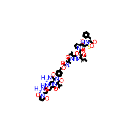 CC[C@H](C)[C@@H]([C@@H](CC(=O)N1CCC[C@H]1[C@H](OC)[C@@H](C)C(=S)N[C@@H](Cc1ccccc1)C(=O)OC)OC)N(C)C(=O)[C@@H](NC(=O)C(C)(C)N(C)C(=O)OCc1ccc(N(C(=O)[C@@H](NC(=O)CCCCCN2C(=O)C=CC2=O)C(C)C)[C@@H](CCCNC(N)=O)C(N)=O)cc1)C(C)C